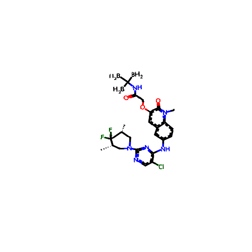 BC(B)(B)NC(=O)COc1cc2cc(Nc3nc(N4C[C@@H](C)C(F)(F)[C@@H](C)C4)ncc3Cl)ccc2n(C)c1=O